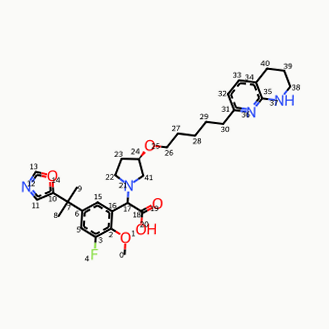 COc1c(F)cc(C(C)(C)c2cnco2)cc1C(C(=O)O)N1CC[C@@H](OCCCCCc2ccc3c(n2)NCCC3)C1